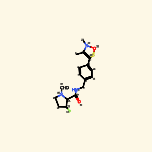 CC1=C(c2ccc(CNC(=O)C3C(F)CCN3C=O)cc2)SON1C